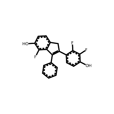 Oc1ccc(C2=C(c3ccccc3)c3c(ccc(O)c3F)C2)c(F)c1F